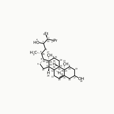 CC[C@@H](C(C)C)C(O)C[C@@H](C)[C@H]1CC[C@H]2[C@@H]3CC=C4CC(O)CC[C@]4(C)[C@H]3CC[C@]12C